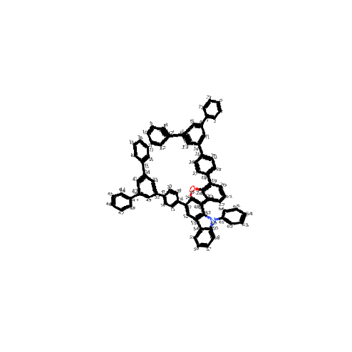 c1ccc(-c2cc(-c3ccccc3)cc(-c3ccc(-c4cccc5c4oc4c(-c6ccc(-c7cc(-c8ccccc8)cc(-c8ccccc8)c7)cc6)cc6c7ccccc7n(-c7ccccc7)c6c45)cc3)c2)cc1